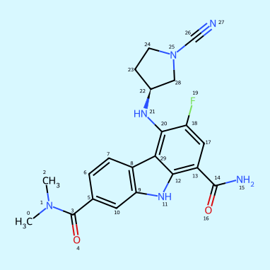 CN(C)C(=O)c1ccc2c(c1)[nH]c1c(C(N)=O)cc(F)c(N[C@H]3CCN(C#N)C3)c12